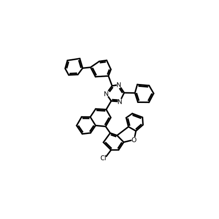 Clc1cc(-c2cc(-c3nc(-c4ccccc4)nc(-c4cccc(-c5ccccc5)c4)n3)cc3ccccc23)c2c(c1)oc1ccccc12